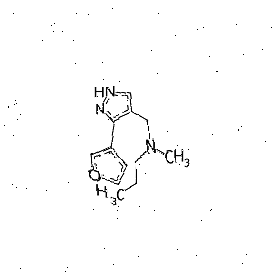 CCCN(C)Cc1c[nH]nc1-c1ccoc1